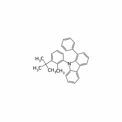 Cc1c(-n2c3ccccc3c3cccc(-c4ccccc4)c32)cccc1C(C)(C)C